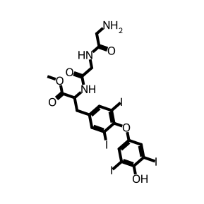 COC(=O)C(Cc1cc(I)c(Oc2cc(I)c(O)c(I)c2)c(I)c1)NC(=O)CNC(=O)CN